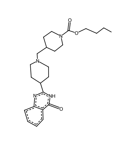 CCCCOC(=O)N1CCC(CN2CCC(c3nc4ccccc4c(=O)[nH]3)CC2)CC1